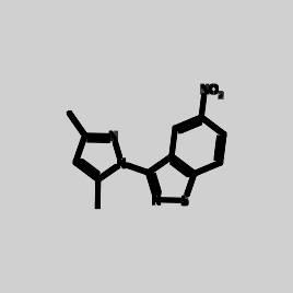 Cc1cc(C)n(-c2nsc3ccc([N+](=O)[O-])cc23)n1